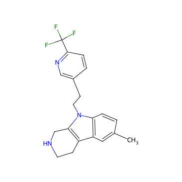 Cc1ccc2c(c1)c1c(n2CCc2ccc(C(F)(F)F)nc2)CNCC1